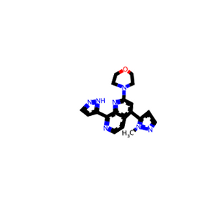 Cn1nccc1-c1cc(N2CCOCC2)nc2c(-c3ccn[nH]3)nccc12